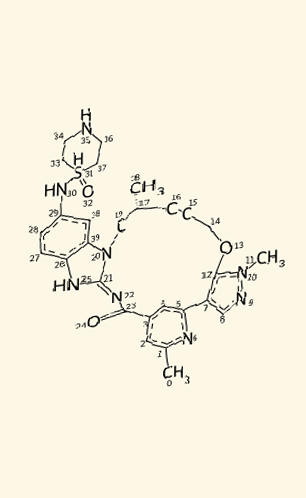 Cc1cc2cc(n1)-c1cnn(C)c1OCCC[C@@H](C)CN1/C(=N/C2=O)Nc2ccc(N[SH]3(=O)CCNCC3)cc21